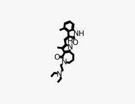 CCN(CC)CCN1CCCc2[nH]c(C=C3C(=O)Nc4cccc(C)c43)c(C)c2C1=O